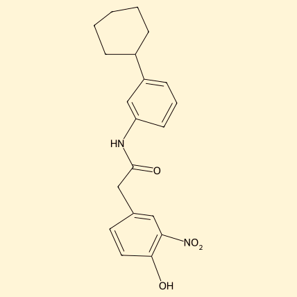 O=C(Cc1ccc(O)c([N+](=O)[O-])c1)Nc1cccc(C2CCCCC2)c1